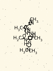 C=CC(=O)Nc1cc(Nc2ncc3c(C)cc(-c4cnn(C)c4)n3n2)c(OC)cc1N1CCC(N(C)C)CC1